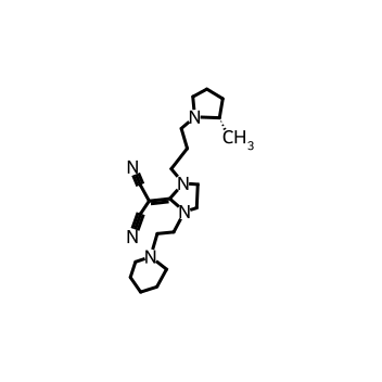 C[C@H]1CCCN1CCCN1CCN(CCN2CCCCC2)C1=C(C#N)C#N